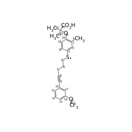 Cc1cc(SCCCC#Cc2cccc(OC(F)(F)F)c2)ccc1OC(C)(C)C(=O)O